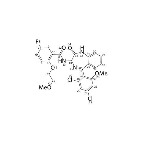 COCCOc1ccc(F)cc1C(=O)NC1N=C(c2c(Cl)cc(Cl)cc2OC)c2ccccc2NC1=O